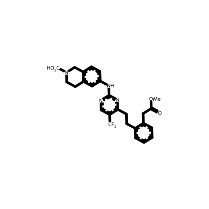 COC(=O)Cc1ccccc1CCc1nc(Nc2ccc3c(c2)CCN(C(=O)O)C3)ncc1C(F)(F)F